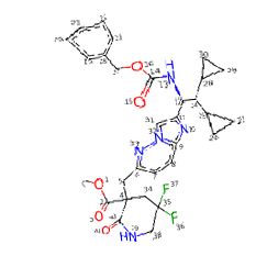 COC(=O)C1(Cc2ccc3nc([C@@H](NC(=O)OCc4ccccc4)C(C4CC4)C4CC4)cn3n2)CC(F)(F)CNC1=O